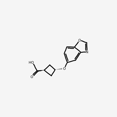 O=C(O)[C@H]1C[C@H](Oc2ccc3ocnc3c2)C1